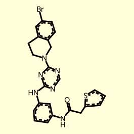 O=C(Cc1cccs1)Nc1cccc(Nc2ncnc(N3CCc4cc(Br)ccc4C3)n2)c1